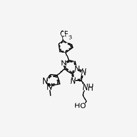 Cn1cc(-c2nc(-c3ccc(C(F)(F)F)cc3)cn3nc(NCCO)nc23)cn1